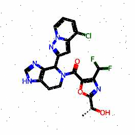 C[C@@H](O)c1nc(C(F)F)c(C(=O)N2CCc3[nH]cnc3C2c2cc3c(Cl)cccn3n2)o1